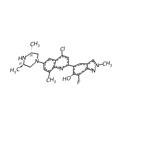 Cc1cc(N2C[C@@H](C)N[C@H](C)C2)cc2c(Cl)cc(-c3cc4cn(C)nc4c(F)c3O)nc12